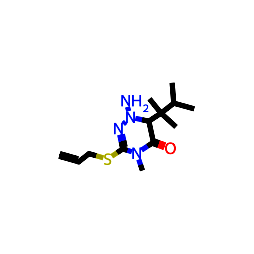 C=CCSC1=NN(N)C(C(C)(C)C(C)C)C(=O)N1C